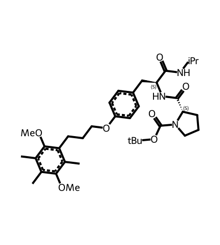 COc1c(C)c(C)c(OC)c(CCCOc2ccc(C[C@H](NC(=O)[C@@H]3CCCN3C(=O)OC(C)(C)C)C(=O)NC(C)C)cc2)c1C